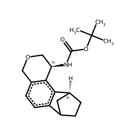 CC(C)(C)OC(=O)N[C@@H]1COCc2ccc3c(c21)[C@H]1CCC3C1